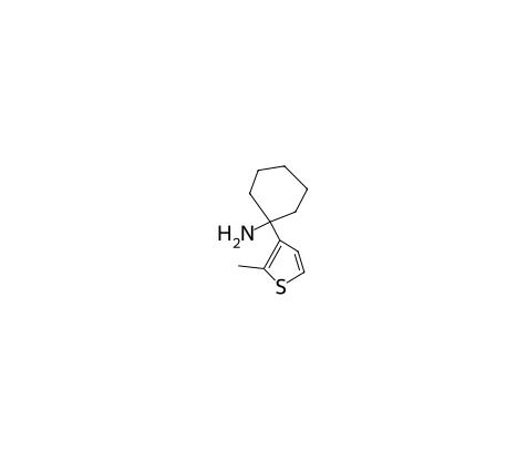 Cc1sccc1C1(N)CCCCC1